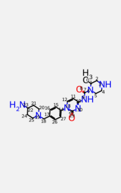 CC1CNCCN1C(=O)Nc1ccn(-c2ccc(CN3CCC(N)CC3)cc2)c(=O)n1